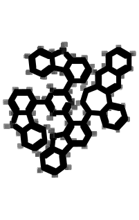 c1ccc2c(c1)-c1cc3ccccc3cc1CCC2c1ccc2c(oc3ccccc32)c1-c1nc(-c2cccc3oc4ccccc4c23)nc(-c2cccc3sc4ccccc4c23)n1